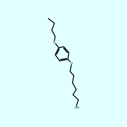 CCCCOc1ccc(OCCCCCCO)cc1